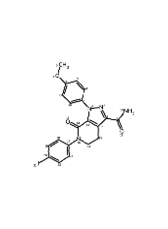 COc1ccc(-n2nc(C(N)=O)c3c2C(=O)N(c2ccc(I)cc2)CC3)cc1